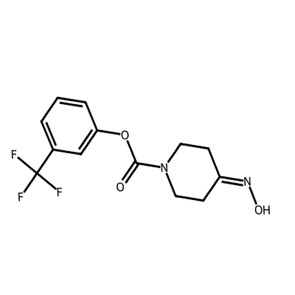 O=C(Oc1cccc(C(F)(F)F)c1)N1CCC(=NO)CC1